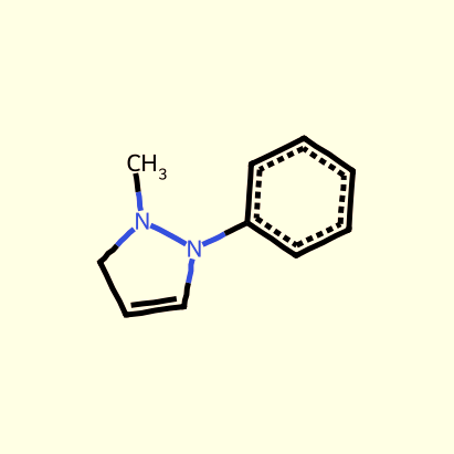 CN1CC=CN1c1ccccc1